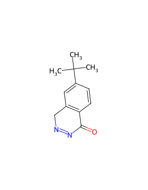 CC(C)(C)c1ccc2c(c1)CN=NC2=O